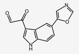 O=CC(=O)c1c[nH]c2ccc(-c3cnco3)cc12